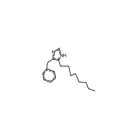 CCCCCCCCc1[nH][c]nc1Cc1ccccc1